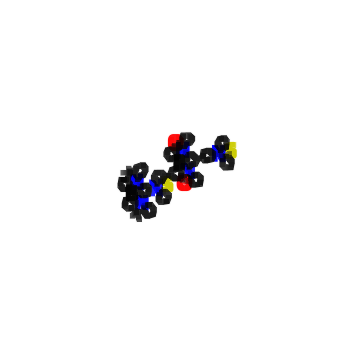 CC1(C)c2ccccc2N2c3cc(N4c5ccccc5Sc5c(-c6cc7c8c(c6)B6c9cccc%10c9N(c9ccccc9O%10)c9cc(-c%10ccc(N%11c%12ccccc%12Sc%12ccccc%12%11)cc%10)cc(c96)N8c6ccccc6O7)cccc54)cc4c3B(c3cccc1c32)c1cccc2c1N4c1ccccc1C2(C)C